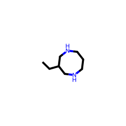 CCC1CNCCCNC1